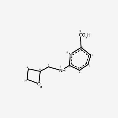 O=C(O)c1cccc(NCC2CCO2)n1